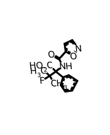 CC(C)(F)C(NC(=O)c1ccno1)(C(=O)O)c1ccccc1